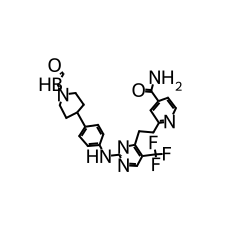 NC(=O)c1ccnc(CCc2nc(Nc3ccc(C4CCN(BC=O)CC4)cc3)ncc2C(F)(F)F)c1